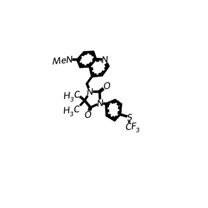 CNc1ccc2nccc(CN3C(=O)N(c4ccc(SC(F)(F)F)cc4)C(=O)C3(C)C)c2c1